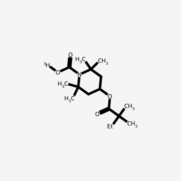 [3H]OC(=O)N1C(C)(C)CC(OC(=O)C(C)(C)CC)CC1(C)C